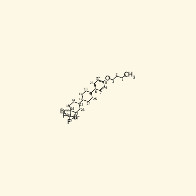 CCCCOc1ccc(C2CCC(C3CCC(Br)(C(F)(F)Br)CC3)CC2)cc1